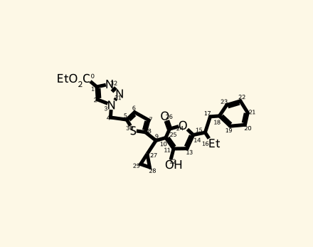 CCOC(=O)c1cn(Cc2ccc(C(c3c(O)cc(C(CC)Cc4ccccc4)oc3=O)C3CC3)s2)nn1